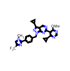 COc1ncnc(C2CC2)c1-c1ncc2c(C3CC3)nn(Cc3ccc(-c4nc(C(F)(F)F)cn4C)cc3)c2n1